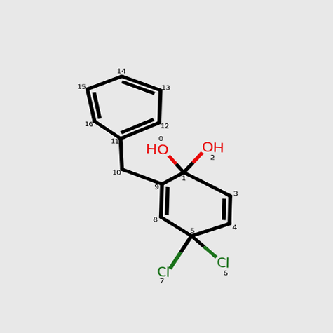 OC1(O)C=CC(Cl)(Cl)C=C1Cc1ccccc1